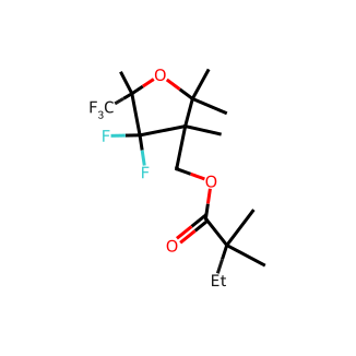 CCC(C)(C)C(=O)OCC1(C)C(C)(C)OC(C)(C(F)(F)F)C1(F)F